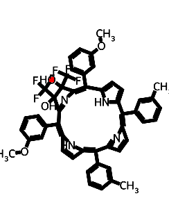 COc1cccc(-c2c3nc(c(-c4cccc(OC)c4)c4ccc([nH]4)c(-c4cccc(C)c4)c4nc(c(-c5cccc(C)c5)c5ccc2[nH]5)C=C4)C(O)(C(F)(F)F)C3(O)C(F)(F)F)c1